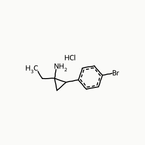 CCC1(N)CC1c1ccc(Br)cc1.Cl